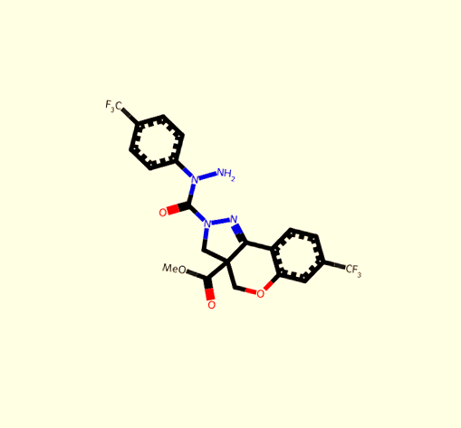 COC(=O)C12COc3cc(C(F)(F)F)ccc3C1=NN(C(=O)N(N)c1ccc(C(F)(F)F)cc1)C2